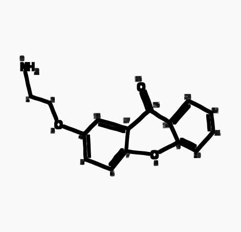 NCCOc1ccc2oc3ccccc3c(=O)c2c1